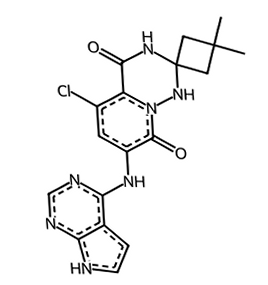 CC1(C)CC2(C1)NC(=O)c1c(Cl)cc(Nc3ncnc4[nH]ccc34)c(=O)n1N2